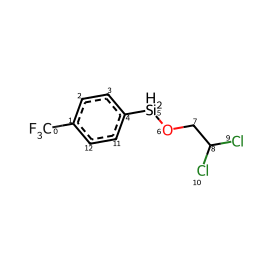 FC(F)(F)c1ccc([SiH2]OCC(Cl)Cl)cc1